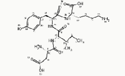 CC[C@H](C)[C@H](NC(=O)[C@@H](N)CC(=O)O)C(=O)N[C@@H](Cc1ccc(O)cc1)C(=O)N[C@@H](CCCCN)C(=O)O